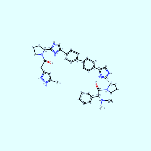 Cc1cc(CC(=O)N2CCC[C@H]2c2ncc(-c3ccc(-c4ccc(-c5cnc([C@@H]6CCCN6C(=O)[C@@H](c6ccccc6)N(C)C)[nH]5)cc4)cc3)[nH]2)n[nH]1